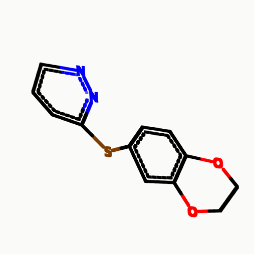 c1cnnc(Sc2ccc3c(c2)OCCO3)c1